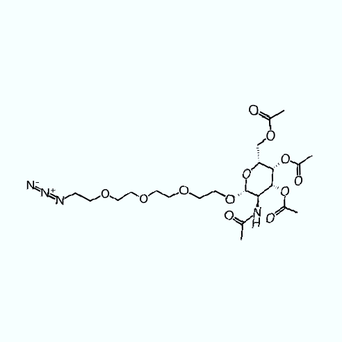 CC(=O)N[C@H]1[C@H](OCCOCCOCCOCCN=[N+]=[N-])O[C@H](COC(C)=O)[C@H](OC(C)=O)[C@@H]1OC(C)=O